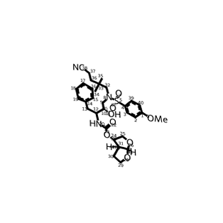 COc1ccc(S(=O)(=O)N(C[C@@H](O)C(Cc2ccccc2)NC(=O)O[C@H]2CO[C@@H]3OCC[C@@H]32)CC(C)(C)CCC#N)cc1